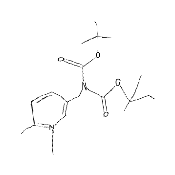 Cc1ccc(N(C(=O)OC(C)(C)C)C(=O)OC(C)(C)C)c[n+]1C